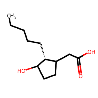 CCCCC[C@H]1C(O)CCC1CC(=O)O